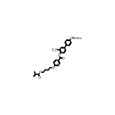 C=C(C)C(=O)OCCCCOc1ccc(C(=O)Oc2ccc(-c3ccc(OCCCCCC)cc3)cc2[N+](=O)[O-])cc1